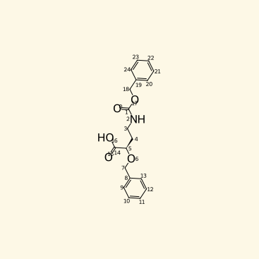 O=C(NCC[C@@H](OCc1ccccc1)C(=O)O)OCc1ccccc1